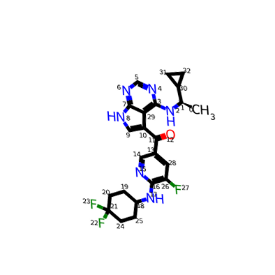 C[C@@H](Nc1ncnc2[nH]cc(C(=O)c3cnc(NC4CCC(F)(F)CC4)c(F)c3)c12)C1CC1